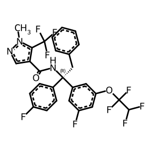 Cn1ncc(C(=O)N[C@](Cc2ccccc2)(c2ccc(F)cc2)c2cc(F)cc(OC(F)(F)C(F)F)c2)c1C(F)(F)F